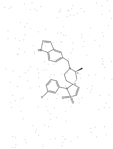 C[C@H]1C[C@@]2(C=CS(=O)(=O)N2c2cccc(F)c2)CCN1Cc1ccc2[nH]ccc2c1